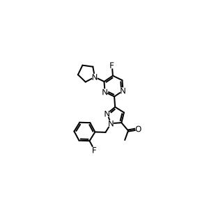 CC(=O)c1cc(-c2ncc(F)c(N3CCCC3)n2)nn1Cc1ccccc1F